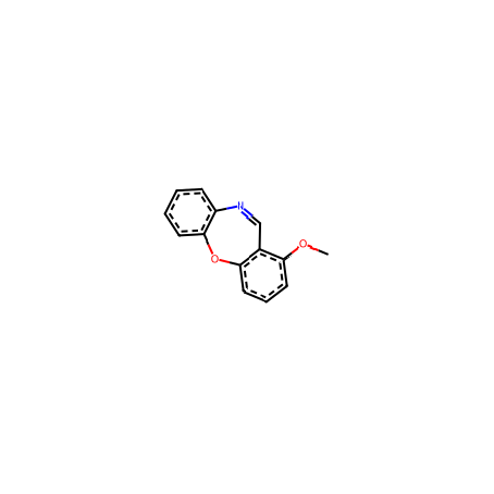 COc1cccc2c1C=Nc1ccccc1O2